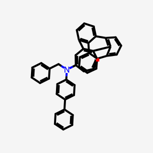 C1=CC2=C(C=C(N(Cc3ccccc3)c3ccc(-c4ccccc4)cc3)C1)c1cccc3c1-c1ccccc1-c1cccc-3c12